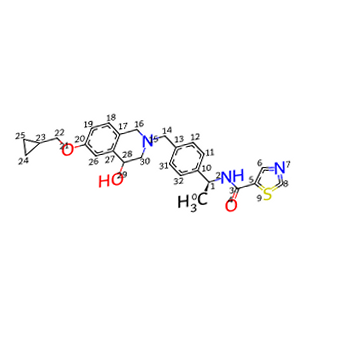 C[C@H](NC(=O)c1cncs1)c1ccc(CN2Cc3ccc(OCC4CC4)cc3C(O)C2)cc1